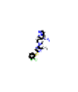 Cc1nc(Sc2cccc(Cl)c2Cl)cnc1N1CCC2(CC1)Cn1nccc1[C@H]2N